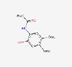 CNc1cc(O)c(NC(=O)OC)cc1OC